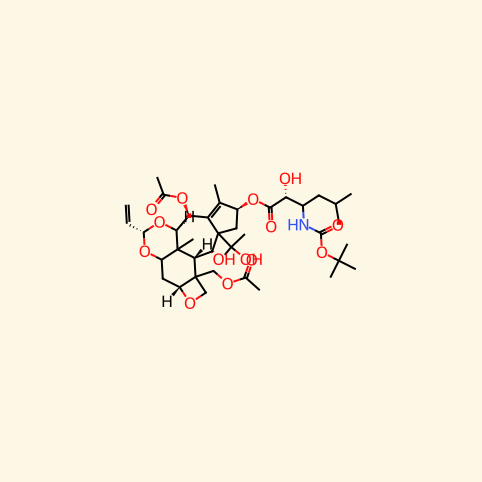 C=C[C@H]1OC2C[C@H]3OCC3(COC(C)=O)[C@H]3[C@H](O)C4(C(C)(C)O)C[C@H](OC(=O)[C@H](O)C(CC(C)C)NC(=O)OC(C)(C)C)C(C)=C4[C@H](OC(C)=O)[C@H](O1)C23C